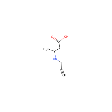 C#CCNC(C)CC(=O)O